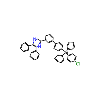 Clc1ccc([Si](c2ccccc2)(c2ccccc2)c2ccc(-c3cccc(-c4cnc(-c5ccccc5)c(-c5ccccc5)n4)c3)cc2)cc1